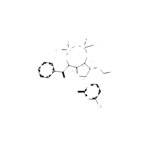 CCOC(=O)CO[C@@H]1[C@@H]2O[Si](C(C)C)(C(C)C)O[Si](C(C)C)(C(C)C)OC(C(=O)c3ccccc3)[C@H]2O[C@H]1n1ccc(N)nc1=O